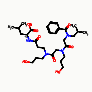 CC(C)C[C@H](NC(=O)CCN(CCCO)C(=O)CN(CCCO)C(=O)CN(CC(C)C)C(=O)c1ccccc1)C(=O)O